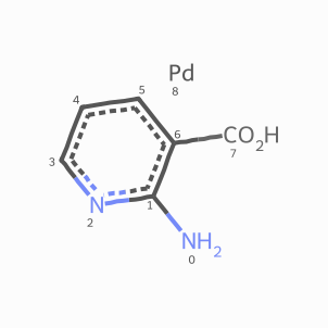 Nc1ncccc1C(=O)O.[Pd]